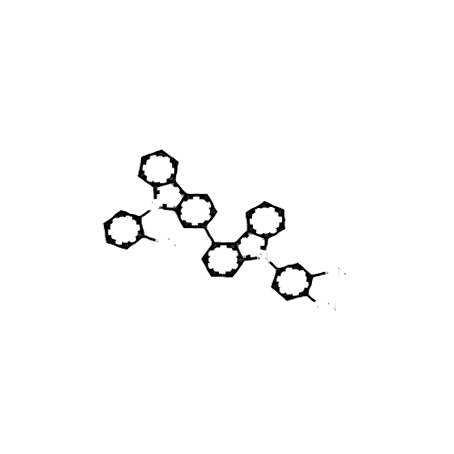 N#Cc1ccc(-n2c3ccccc3c3c(-c4ccc5c6ccccc6n(-c6ccccc6C#N)c5c4)cccc32)cc1C#N